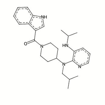 CC(C)CN(c1ncccc1NC(C)C)C1CCN(C(=O)c2c[nH]c3ccccc23)CC1